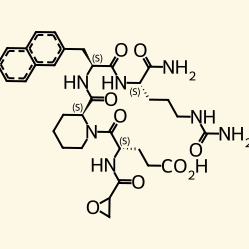 NC(=O)NCCC[C@H](NC(=O)[C@H](Cc1ccc2ccccc2c1)NC(=O)[C@@H]1CCCCN1C(=O)[C@H](CCC(=O)O)NC(=O)C1CO1)C(N)=O